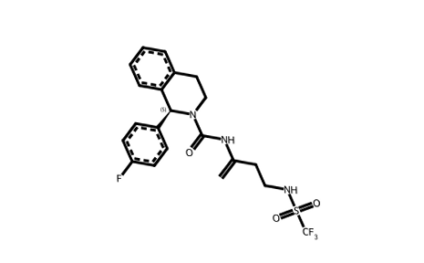 C=C(CCNS(=O)(=O)C(F)(F)F)NC(=O)N1CCc2ccccc2[C@@H]1c1ccc(F)cc1